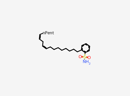 CCCCC/C=C\C/C=C\CCCCCCCCc1ccccc1S(N)(=O)=O